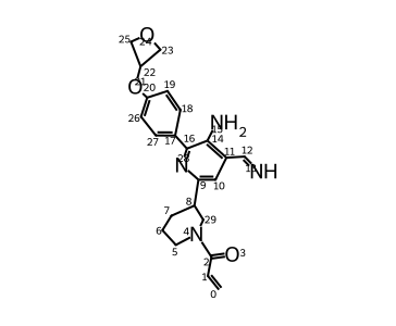 C=CC(=O)N1CCCC(c2cc(C=N)c(N)c(-c3ccc(OC4COC4)cc3)n2)C1